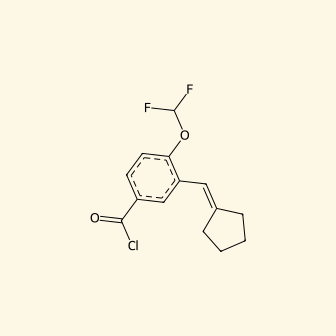 O=C(Cl)c1ccc(OC(F)F)c(C=C2CCCC2)c1